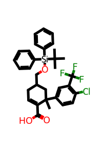 CC1(c2ccc(Cl)c(C(F)(F)F)c2)CC(CO[Si](c2ccccc2)(c2ccccc2)C(C)(C)C)CC=C1C(=O)O